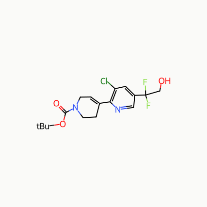 CC(C)(C)OC(=O)N1CC=C(c2ncc(C(F)(F)CO)cc2Cl)CC1